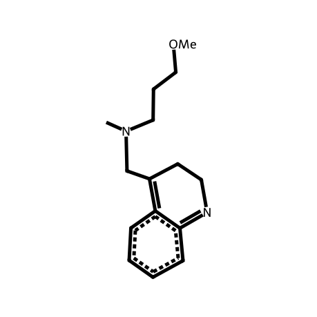 COCCCN(C)CC1=c2ccccc2=NCC1